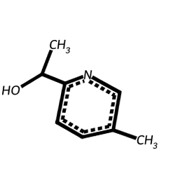 Cc1ccc(C(C)O)nc1